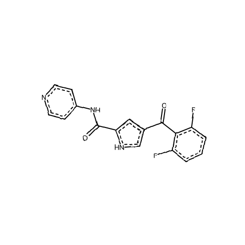 O=C(Nc1ccncc1)c1cc(C(=O)c2c(F)cccc2F)c[nH]1